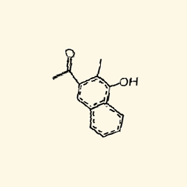 CC(=O)c1cc2ccccc2c(O)c1C